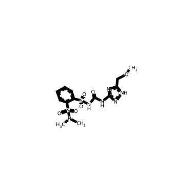 COCc1nc(NC(=O)NS(=O)(=O)c2ccccc2S(=O)(=O)N(C)C)n[nH]1